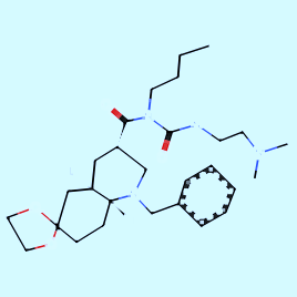 CCCCN(C(=O)NCCN(C)C)C(=O)[C@@H]1C[C@@H]2CC3(CC[C@H]2N(Cc2ccccc2)C1)OCCO3